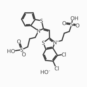 O=S(=O)(O)CCCN1C(=Cc2sc3ccc(Cl)c(Cl)c3[n+]2CCCS(=O)(=O)O)Sc2ccccc21.[OH-]